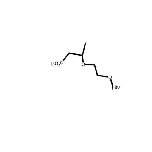 [CH2]C(CC(=O)O)OCCOCCCC